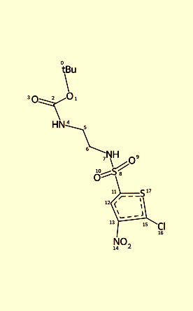 CC(C)(C)OC(=O)NCCNS(=O)(=O)c1cc([N+](=O)[O-])c(Cl)s1